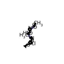 CCOC(=O)/C=C/c1cc(C(=O)N[C@@H](C)/C=C/c2cnc(Oc3ccc(OCC4CC4)cc3Cl)s2)ccn1